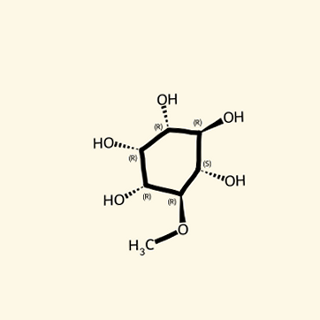 CO[C@H]1[C@H](O)[C@H](O)[C@H](O)[C@@H](O)[C@@H]1O